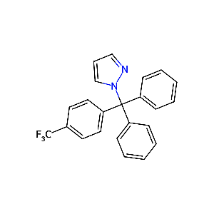 FC(F)(F)c1ccc(C(c2ccccc2)(c2ccccc2)n2cccn2)cc1